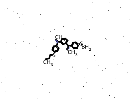 BSc1ccc(/C(=C\C)c2cccc(/C(=C\C)c3ccc(SCCCC)cc3)c2)cc1